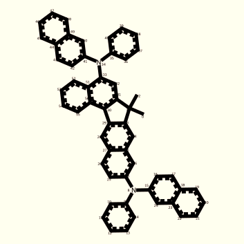 CC1(C)c2cc3cc(N(c4ccccc4)c4ccc5ccccc5c4)ccc3cc2-c2c1cc(N(c1ccccc1)c1ccc3ccccc3c1)c1ccccc21